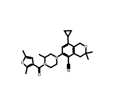 Cc1cc(C(=O)N2CCN(c3cc(C4CC4)c4c(c3C#N)CC(C)(C)OC4)CC2C)c(C)o1